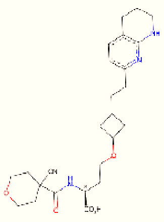 N#CC1(C(=O)N[C@@H](CCOC2CC(CCc3ccc4c(n3)NCCC4)C2)C(=O)O)CCOCC1